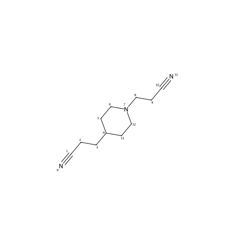 N#CCCC1CCN(CCC#N)CC1